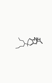 C=Cc1cc2c([nH]1)=CCC(C)(C(CCC)CCCC)C=2